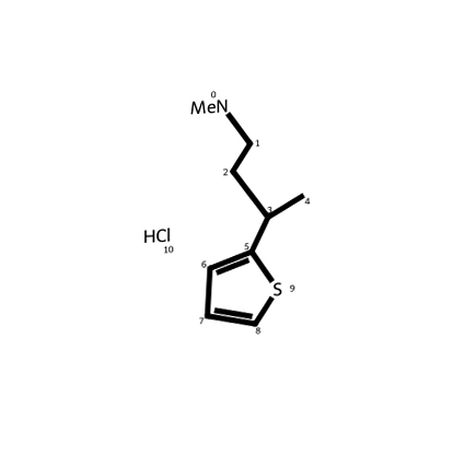 CNCCC(C)c1cccs1.Cl